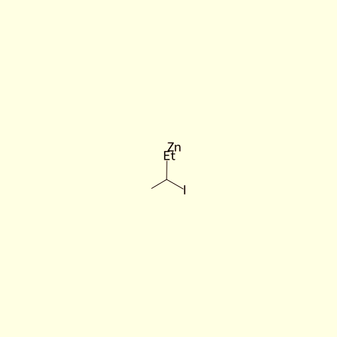 CCC(C)I.[Zn]